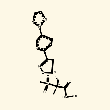 C[C@@](C[C@H]1CC(c2ccc(-n3nccn3)cn2)=NO1)(C(=O)NO)S(C)(=O)=O